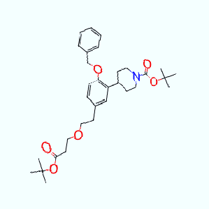 CC(C)(C)OC(=O)CCOCCc1ccc(OCc2ccccc2)c(C2CCN(C(=O)OC(C)(C)C)CC2)c1